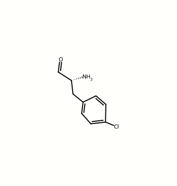 N[C@@H](C=O)Cc1ccc(Cl)cc1